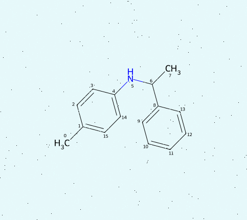 Cc1ccc(NC(C)c2ccccc2)cc1